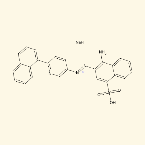 Nc1c(/N=N/c2ccc(-c3cccc4ccccc34)nc2)cc(S(=O)(=O)O)c2ccccc12.[NaH]